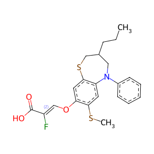 CCCC1CSc2cc(O/C=C(\F)C(=O)O)c(SC)cc2N(c2ccccc2)C1